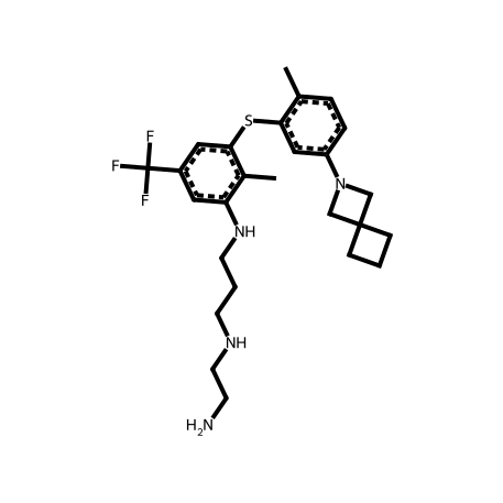 Cc1ccc(N2CC3(CCC3)C2)cc1Sc1cc(C(F)(F)F)cc(NCCCNCCN)c1C